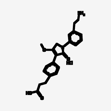 COC1=C(c2ccc(CCC(=O)O)cc2)C(=O)N(c2cccc(CCN)c2)C1.Cl